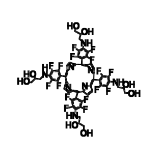 OCC(O)CNc1c(F)c(F)c(C2=C3C=CC(=N3)C(c3c(F)c(F)c(NCC(O)CO)c(F)c3F)=C3C=CC(=N3)C(c3c(F)c(F)c(NCC(O)CO)c(F)c3F)=C3C=CC(=N3)C(c3c(F)c(F)c(NCC(O)CO)c(F)c3F)=C3C=CC2=N3)c(F)c1F